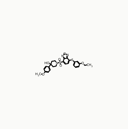 CCOc1cccc(Sc2ccc(S(=O)(=O)N3CCC(O)(c4ccc(OC)cc4)CC3)c3nonc23)c1